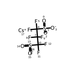 O=S(=O)([O-])C(F)(F)C(F)(F)C(F)(F)S(=O)(=O)F.[Cs+]